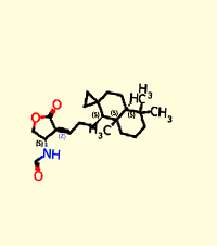 CC1(C)CCC[C@@]2(C)[C@H]1CCC1(CC1)[C@@H]2CC/C=C1\C(=O)OC[C@H]1NC=O